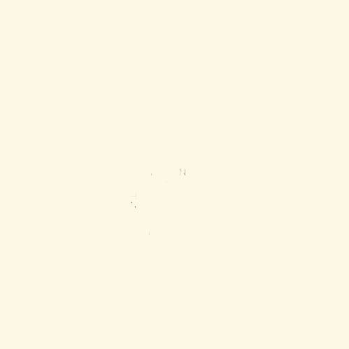 CCCCn1c(CCC)c(CC)cc(C(=O)NC)c1=O